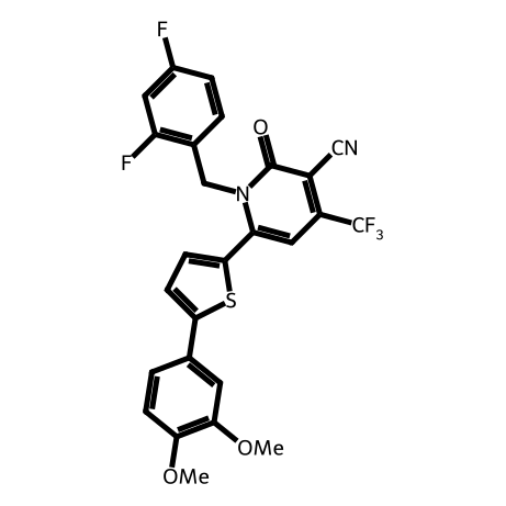 COc1ccc(-c2ccc(-c3cc(C(F)(F)F)c(C#N)c(=O)n3Cc3ccc(F)cc3F)s2)cc1OC